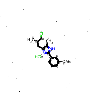 COc1cccc(-c2nc(CC(C)CCl)c(C)[nH]2)c1.Cl